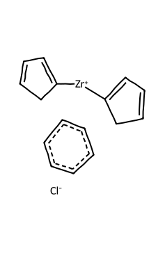 C1=CC[C]([Zr+][C]2=CC=CC2)=C1.[Cl-].c1ccccc1